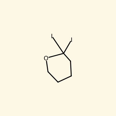 IC1(I)CCCCO1